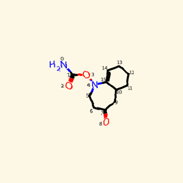 NC(=O)ON1CCC(=O)CC2CCCC=C21